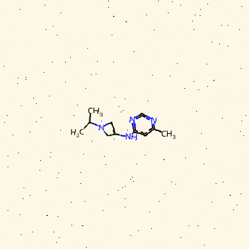 Cc1cc(NC2CN(C(C)C)C2)ncn1